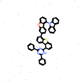 C1=CC(C2N=C(c3ccccc3)N=C(c3ccccc3)N2)C2C(=C1)Sc1c(-c3ccc4c(c3)oc3cccc(-n5c6ccccc6c6ccccc65)c34)cccc12